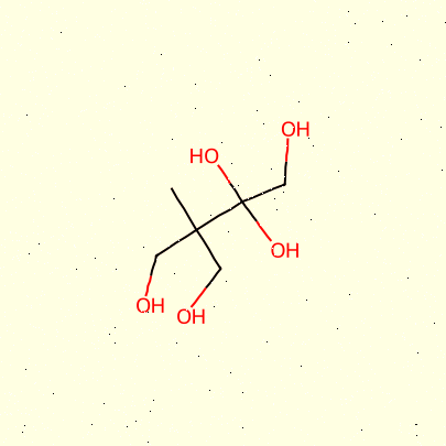 CC(CO)(CO)C(O)(O)CO